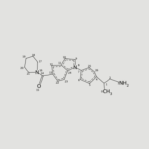 CC(CN)c1ccc(-n2ccc3cc(C(=O)N4CCCCC4)ccc32)cc1